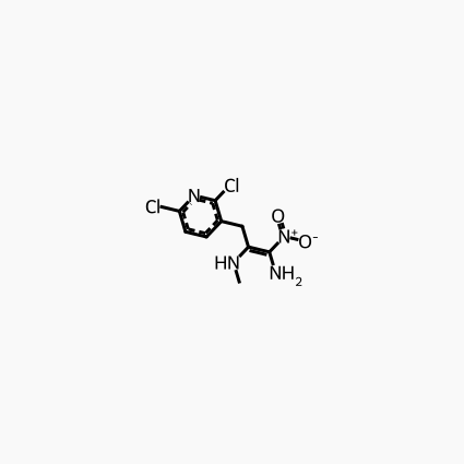 CNC(Cc1ccc(Cl)nc1Cl)=C(N)[N+](=O)[O-]